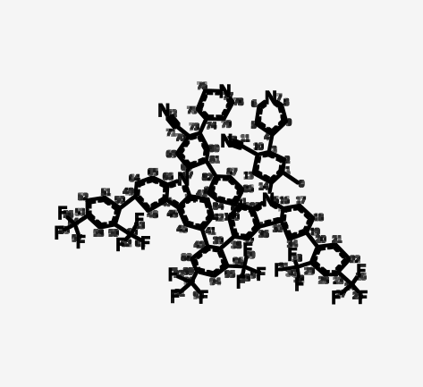 Cc1cc(-c2ccncc2)c(C#N)cc1-n1c2ccc(-c3ccc(C(F)(F)F)cc3C(F)(F)F)cc2c2cc(-c3c(-c4ccc5c(c4)c4cc(-c6ccc(C(F)(F)F)cc6C(F)(F)F)ccc4n5-c4cc(C#N)c(-c5ccncc5)cc4-c4ccccc4)cc(C(F)(F)F)cc3C(F)(F)F)ccc21